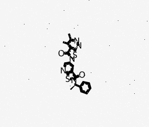 Cc1nnc2sn(-c3cnc4sn([C@H](C)c5ccccc5)c(=O)c4c3)c(=O)c2c1C